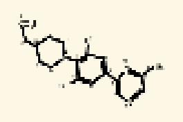 CCCCc1cncc(-c2cc(F)c(N3CCC(CC(=O)O)CC3)c(F)c2)n1